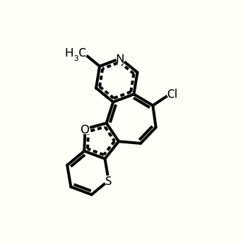 Cc1cc2c(cn1)=C(Cl)C=Cc1c3c(oc1=2)=CC=CS3